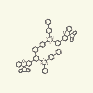 c1ccc(-c2ccc(-c3nc(-c4ccc(-c5cccc(-c6cc(-c7ccc8c(c7)Oc7ccccc7C87c8ccccc8-c8ccccc87)cc(-c7nc(-c8ccccc8)nc(-c8ccc(-c9ccccc9)cc8)n7)c6)c5)cc4)nc(-c4cccc(-c5ccc6c(c5)Oc5ccccc5C65c6ccccc6-c6ccccc65)c4)n3)cc2)cc1